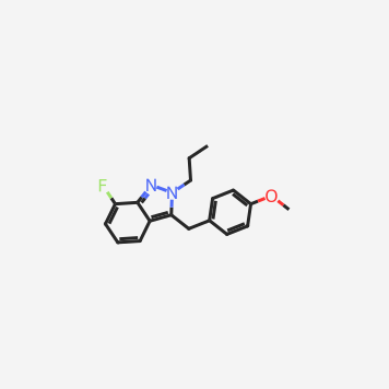 CCCn1nc2c(F)cccc2c1Cc1ccc(OC)cc1